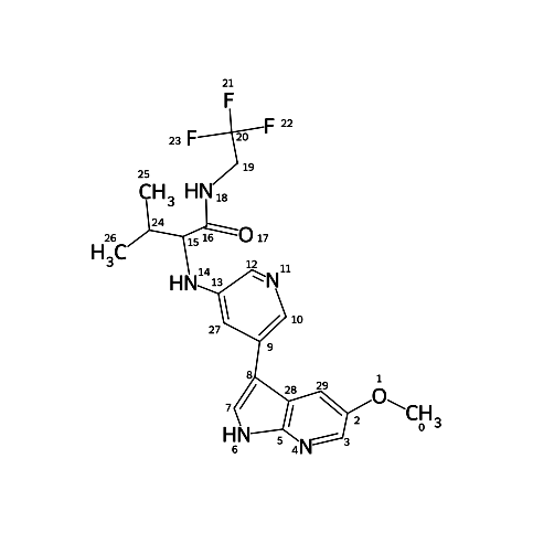 COc1cnc2[nH]cc(-c3cncc(NC(C(=O)NCC(F)(F)F)C(C)C)c3)c2c1